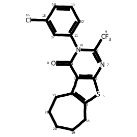 O=c1c2c3c(sc2nc(C(F)(F)F)n1-c1cccc(Cl)c1)CCCCC3